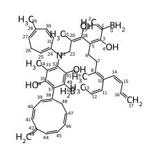 BC(=C)/C(O)=C(CC/C(C)=C(/C=C\C)\C=C/C=C)\C(O)=C(\C)CN(C1=CCC=C(C)C=C1)c1c(C)c(O)c(/C2=C/C=C\C(=C)/C=C\C=C/C2)c(B)c1O